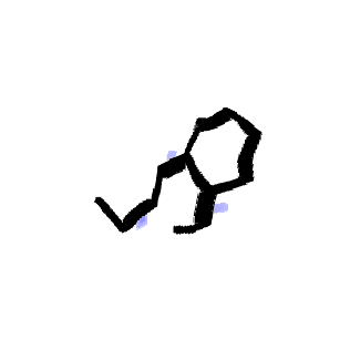 C\C=C/C=c1/nccc/c1=C/C